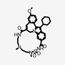 COc1ccc2c(c1)C=C1Cn3c-2c(C2CCCCC2)c2ccc(cc23)C(=O)NS(=O)(=O)N(C)CCN(C)CCNC1=O